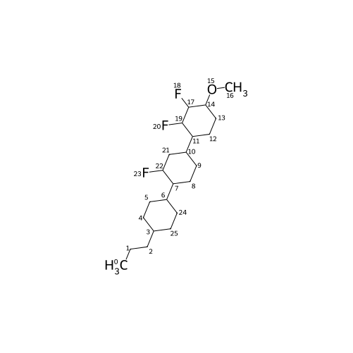 CCCC1CCC(C2CCC(C3CCC(OC)C(F)C3F)CC2F)CC1